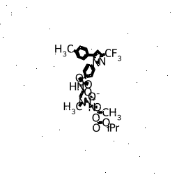 Cc1ccc(-c2cc(C(F)(F)F)nn2-c2ccc(S(=O)(=O)NC(=O)CN(C)[N+]([O-])=NOC(C)OC(=O)OC(C)C)cc2)cc1